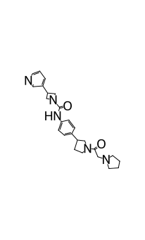 O=C(CN1CCCC1)N1CCC(c2ccc(NC(=O)N3CC(c4cccnc4)C3)cc2)C1